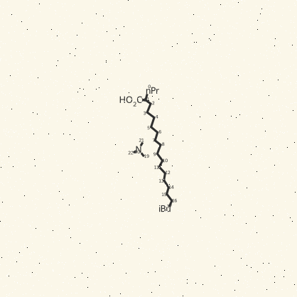 CCCC(CCCCCCCCCCCCCCCC(C)CC)C(=O)O.CN(C)C